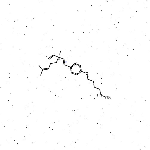 C=C[C@@](C)(/C=C/c1ccc(OCCCCNCCCC)cc1)CCC=C(C)C